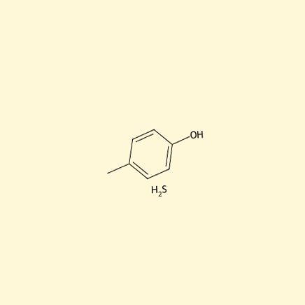 Cc1ccc(O)cc1.S